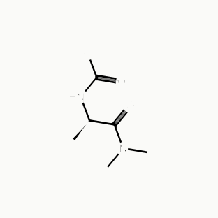 CC(C)C(=O)N[C@H](C)C(=O)N(C)C